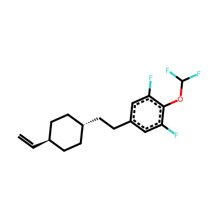 C=C[C@H]1CC[C@H](CCc2cc(F)c(OC(F)F)c(F)c2)CC1